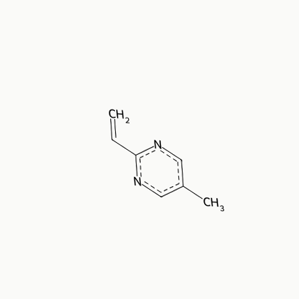 C=Cc1ncc(C)cn1